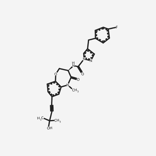 CN1C(=O)[C@H](NC(=O)n2cc(Cc3ccc(F)cc3)cn2)COc2ccc(C#CC(C)(C)O)cc21